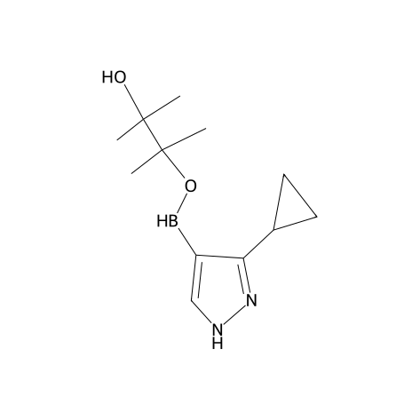 CC(C)(O)C(C)(C)OBc1c[nH]nc1C1CC1